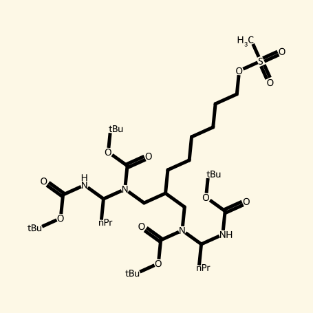 CCCC(NC(=O)OC(C)(C)C)N(CC(CCCCCCOS(C)(=O)=O)CN(C(=O)OC(C)(C)C)C(CCC)NC(=O)OC(C)(C)C)C(=O)OC(C)(C)C